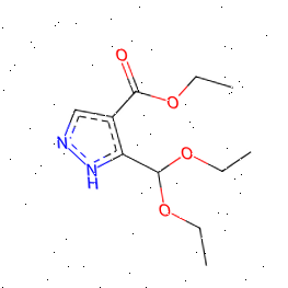 CCOC(=O)c1cn[nH]c1C(OCC)OCC